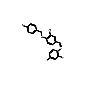 Fc1ccc(COc2ccc(/C=N\c3ccc(F)cc3F)cc2Cl)cc1